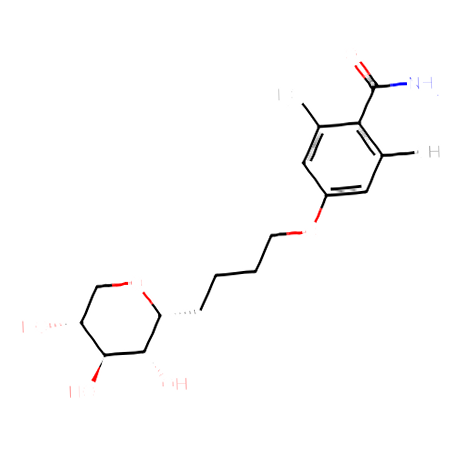 Cc1cc(OCCCC[C@H]2OC[C@@H](O)[C@H](O)[C@H]2O)cc(C)c1C(N)=O